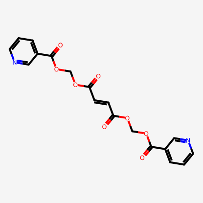 O=C(/C=C/C(=O)OCOC(=O)c1cccnc1)OCOC(=O)c1cccnc1